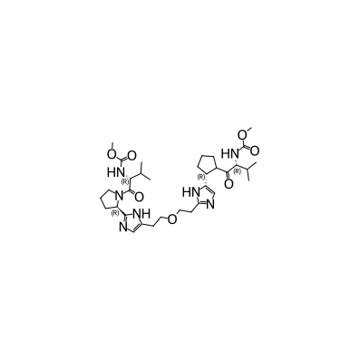 COC(=O)N[C@@H](C(=O)C1CCC[C@H]1c1cnc(CCOCCc2cnc([C@H]3CCCN3C(=O)[C@H](NC(=O)OC)C(C)C)[nH]2)[nH]1)C(C)C